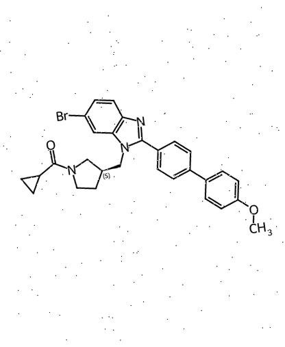 COc1ccc(-c2ccc(-c3nc4ccc(Br)cc4n3C[C@H]3CCN(C(=O)C4CC4)C3)cc2)cc1